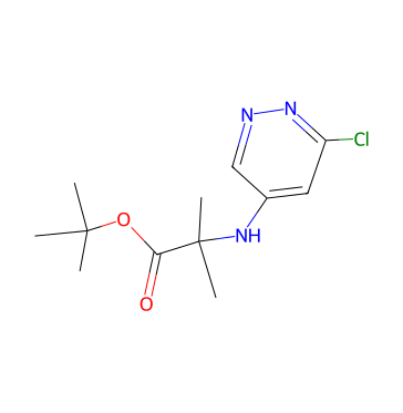 CC(C)(C)OC(=O)C(C)(C)Nc1cnnc(Cl)c1